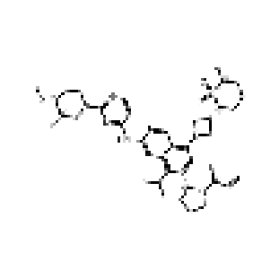 C=CC(=O)N1CCC[C@@H]1c1cc(N2CC([C@H]3CCC[C@H](C)S3(=O)=O)C2)c2cnc(Nc3ccnc(N4CC[C@@H](OC)[C@@H](F)C4)n3)cc2c1C(C)C